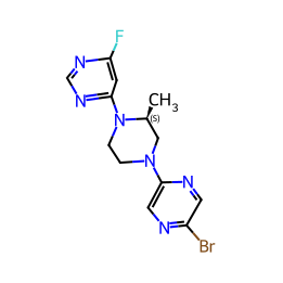 C[C@H]1CN(c2cnc(Br)cn2)CCN1c1cc(F)ncn1